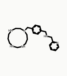 c1ccc(CNCc2ccc(CN3CCCNCNCCCNCC3)cc2)nc1